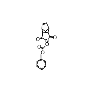 O=C(OCc1ccccc1)ON1C(=O)C2C3C=CC(C3)C2C1=O